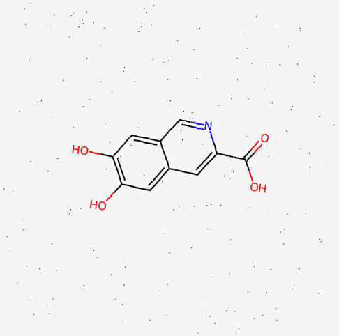 O=C(O)c1cc2cc(O)c(O)cc2cn1